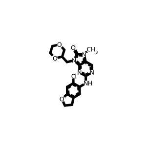 Cn1c(=O)n(CC2COCCO2)c2nc(Nc3cc4c(cc3Cl)OCC4)ncc21